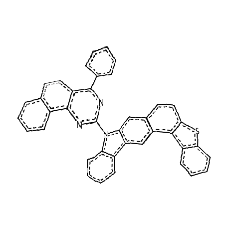 c1ccc(-c2nc(-n3c4ccccc4c4cc5c(ccc6sc7ccccc7c65)cc43)nc3c2ccc2ccccc23)cc1